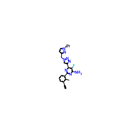 C#Cc1cccc(-c2nc(N)c(F)c(-c3cn(Cc4ccn(C(C)C)n4)nn3)n2)c1C